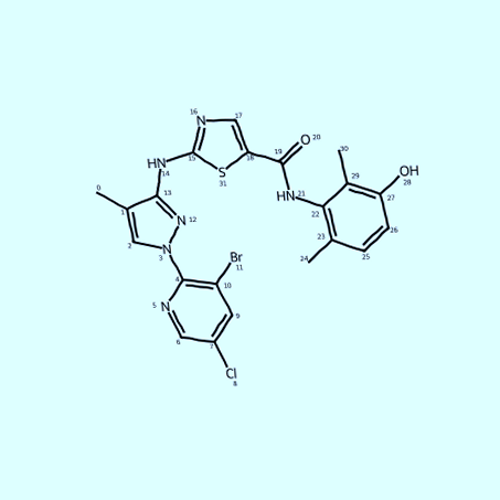 Cc1cn(-c2ncc(Cl)cc2Br)nc1Nc1ncc(C(=O)Nc2c(C)ccc(O)c2C)s1